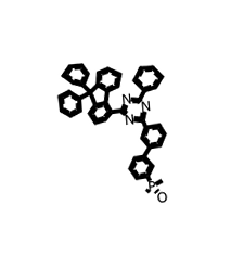 CP(C)(=O)c1cccc(-c2cccc(-c3nc(-c4ccccc4)nc(-c4cccc5c4-c4ccccc4C5(c4ccccc4)c4ccccc4)n3)c2)c1